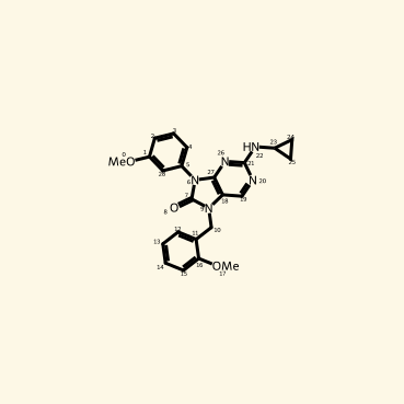 COc1cccc(-n2c(=O)n(Cc3ccccc3OC)c3cnc(NC4CC4)nc32)c1